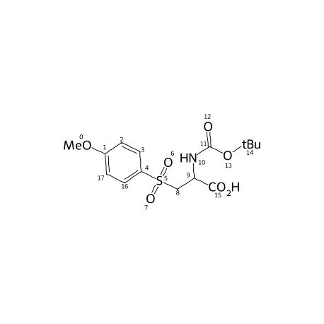 COc1ccc(S(=O)(=O)CC(NC(=O)OC(C)(C)C)C(=O)O)cc1